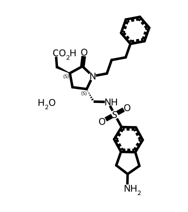 NC1Cc2ccc(S(=O)(=O)NC[C@@H]3C[C@@H](CC(=O)O)C(=O)N3CCCc3ccccc3)cc2C1.O